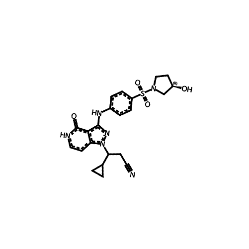 N#CCC(C1CC1)n1nc(Nc2ccc(S(=O)(=O)N3CC[C@@H](O)C3)cc2)c2c(=O)[nH]ccc21